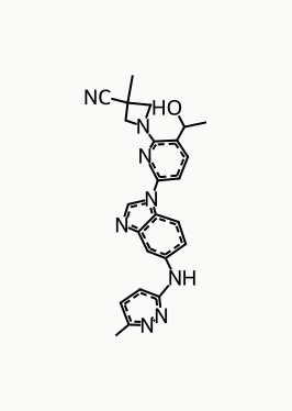 Cc1ccc(Nc2ccc3c(c2)ncn3-c2ccc(C(C)O)c(N3CC(C)(C#N)C3)n2)nn1